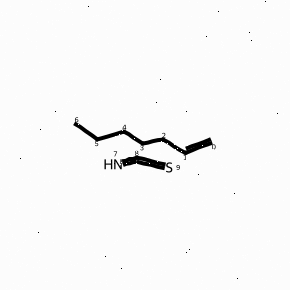 C=CCCCCC.N=C=S